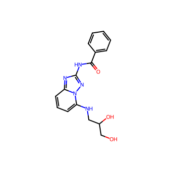 O=C(Nc1nc2cccc(NCC(O)CO)n2n1)c1ccccc1